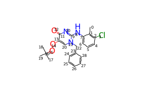 Cc1c(Cl)cccc1Nc1nc(=O)c(OOC(C)(C)C)cn1Cc1ccccc1